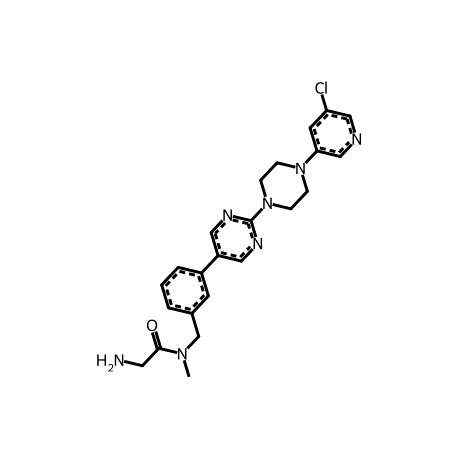 CN(Cc1cccc(-c2cnc(N3CCN(c4cncc(Cl)c4)CC3)nc2)c1)C(=O)CN